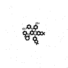 CC1(C)Cc2ccc(N3c4cc5c(cc4B4c6ccc(C(C)(C)C)cc6N(c6cccc(C(C)(C)C)c6)c6cc(N7c8ccccc8C8(C)CCCCC78C)cc3c64)CC(C)(C)C5)cc2C1